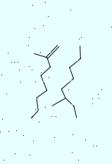 C=C(C)CCCCCC.CCCCCC(C)CC